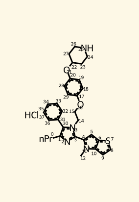 CCCc1nc(-c2cc3sccc3n2C)n(CCOc2ccc(OC3CCNCC3)cc2)c1-c1ccccc1.Cl